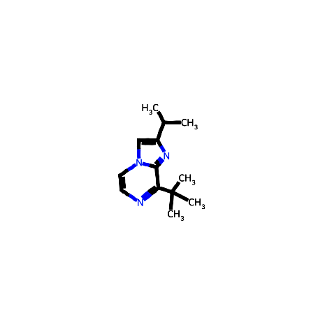 CC(C)c1cn2ccnc(C(C)(C)C)c2n1